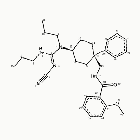 CCCNC(=NC#N)N(CCC)[C@H]1CC[C@](CNC(=O)c2ccccc2OC)(c2ccccc2)CC1